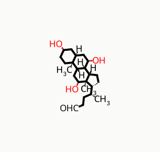 C[C@H](CCC=O)[C@H]1CC[C@H]2[C@@H]3[C@H](O)C[C@@H]4C[C@H](O)CC[C@]4(C)[C@H]3C[C@H](O)[C@]12C